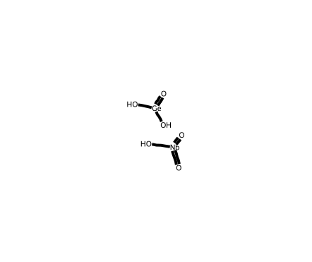 [O]=[Ge]([OH])[OH].[O]=[Nb](=[O])[OH]